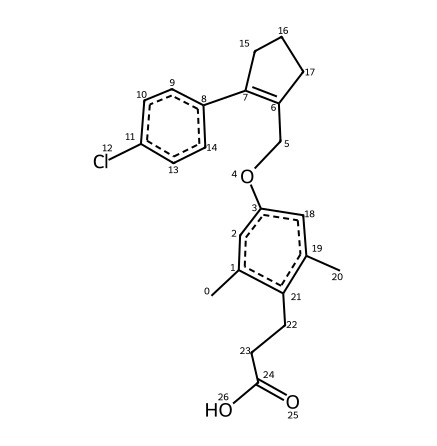 Cc1cc(OCC2=C(c3ccc(Cl)cc3)CCC2)cc(C)c1CCC(=O)O